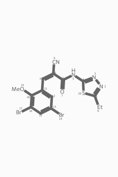 CCc1nnc(NC(=O)C(C#N)=Cc2cc(Br)cc(Br)c2OC)s1